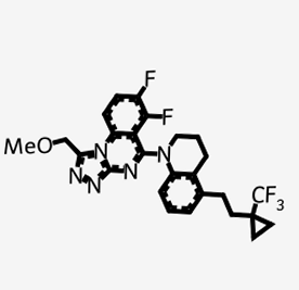 COCc1nnc2nc(N3CCCc4c(CCC5(C(F)(F)F)CC5)cccc43)c3c(F)c(F)ccc3n12